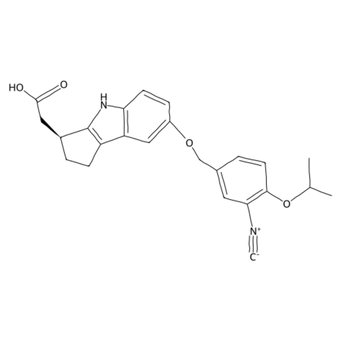 [C-]#[N+]c1cc(COc2ccc3[nH]c4c(c3c2)CC[C@H]4CC(=O)O)ccc1OC(C)C